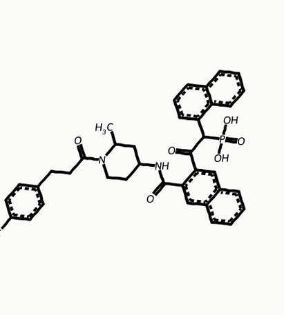 CC1CC(NC(=O)c2cc3ccccc3cc2C(=O)C(c2cccc3ccccc23)P(=O)(O)O)CCN1C(=O)CCc1ccc(C(F)(F)F)cc1